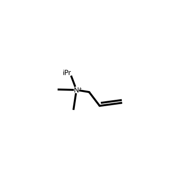 C=CC[N+](C)(C)C(C)C